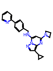 c1ccc(-c2ccc(CNc3cc(N4CCC4)nc4c(C5CC5)cnn34)cc2)nc1